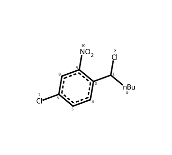 CCCCC(Cl)c1ccc(Cl)cc1[N+](=O)[O-]